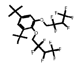 CC(C)(C)c1cc(OCC(F)(F)C(F)C(F)(F)F)c(OCC(F)(F)C(F)C(F)(F)F)c(C(C)(C)C)c1